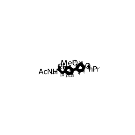 CCCOc1ccc(-c2ccc(CC(C)NC(C)=O)cc2)c(OC)c1